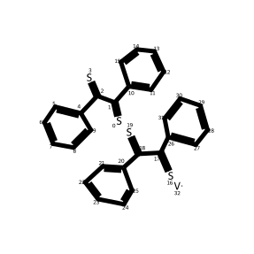 S=C(C(=S)c1ccccc1)c1ccccc1.S=C(C(=S)c1ccccc1)c1ccccc1.[V]